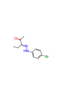 CC/C(=N\Nc1ccc(Br)cc1)C(C)=O